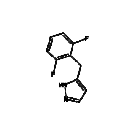 Fc1cccc(F)c1Cc1ccn[nH]1